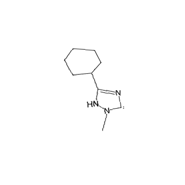 CN1[C]N=C(C2CCCCC2)N1